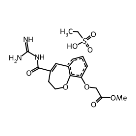 CCS(=O)(=O)O.COC(=O)COc1cccc2c1OCCC(C(=O)NC(=N)N)=C2